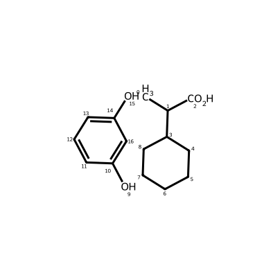 CC(C(=O)O)C1CCCCC1.Oc1cccc(O)c1